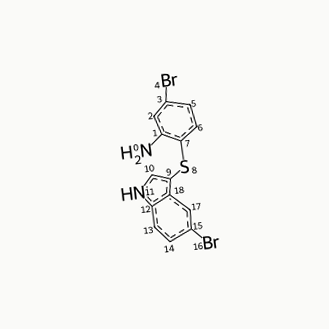 Nc1cc(Br)ccc1Sc1c[nH]c2ccc(Br)cc12